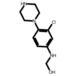 OCNc1ccc(N2CCNCC2)c(Cl)c1